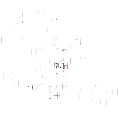 C=CCOc1c(OC)c(C)cc2c1[C@H]1C3[C@@H]4SC[C@]5(NCCc6cc(OC(=O)OC(C)(C)C)c(OC)cc65)C(=O)OC[C@@H](c5c6c(c(C)c(OC(C)=O)c54)OCO6)N3[C@@H](C#N)[C@@H](C2)N1C(=O)CC(C)(C)C